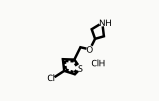 Cl.Clc1csc(COC2CNC2)c1